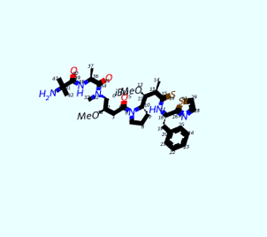 CC[C@H](C)[C@@H]([C@@H](CC(=O)N1CCC[C@H]1[C@H](OC)[C@@H](C)C(=S)N[C@@H](Cc1ccccc1)c1nccs1)OC)N(C)C(=O)[C@H](C)NC(=O)C(C)(C)N